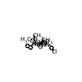 CCOC(OCC)[C@H](C)N(Cc1cccc2ccccc12)C[C@@H](C=O)NC(=O)CN(C)NC(=O)NCc1ccc(Cl)cc1